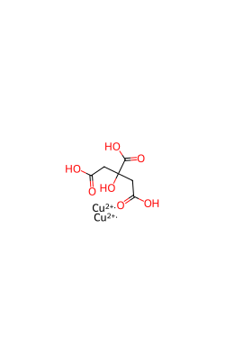 O=C(O)CC(O)(CC(=O)O)C(=O)O.[Cu+2].[Cu+2]